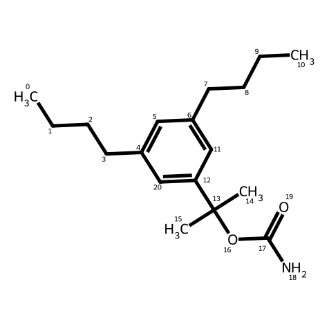 CCCCc1cc(CCCC)cc(C(C)(C)OC(N)=O)c1